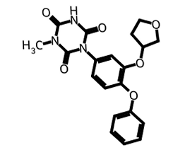 Cn1c(=O)[nH]c(=O)n(-c2ccc(Oc3ccccc3)c(OC3CCOC3)c2)c1=O